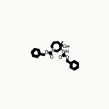 C[C@]1(O)CCCN(C(=O)OCc2ccccc2)C[C@H]1NC(=O)OCc1ccccc1